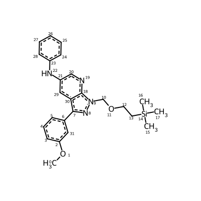 COc1cccc(-c2nn(COCC[Si](C)(C)C)c3ncc(Nc4ccccc4)cc23)c1